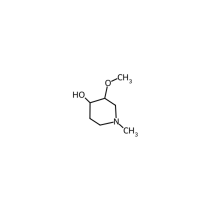 COC1CN(C)CCC1O